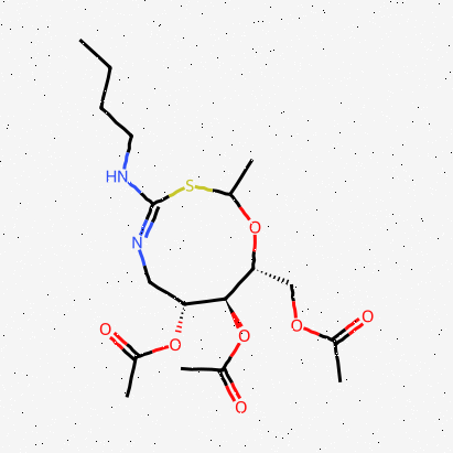 CCCCN/C1=N/C[C@@H](OC(C)=O)[C@H](OC(C)=O)[C@@H](COC(C)=O)OC(C)S1